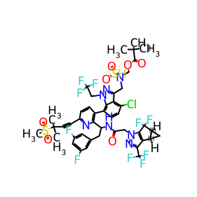 CC(C)(C)C(=O)OCN(Cc1nn(CC(F)(F)F)c2c(-c3ccc(C#CC(C)(C)S(C)(=O)=O)nc3C(Cc3cc(F)cc(F)c3)NC(=O)Cn3nc(C(F)(F)F)c4c3C(F)(F)[C@@H]3C[C@H]43)ccc(Cl)c12)[SH](=O)=O